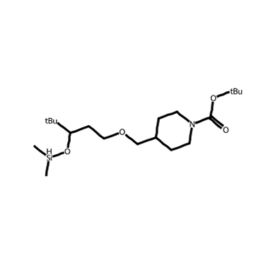 C[SiH](C)OC(CCOCC1CCN(C(=O)OC(C)(C)C)CC1)C(C)(C)C